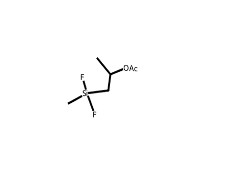 CC(=O)OC(C)C[Si](C)(F)F